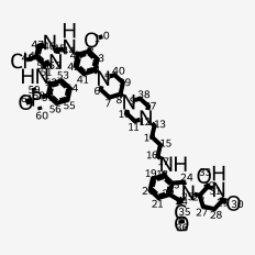 COc1cc(N2CCC(N3CCN(CCCCNc4cccc5c4CN(C4CCC(=O)NC4=O)C5=C=O)CC3)CC2)ccc1Nc1ncc(Cl)c(Nc2ccccc2P(C)(C)=O)n1